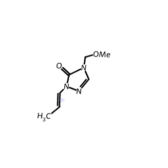 C/C=C/n1ncn(COC)c1=O